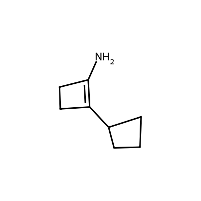 NC1=C(C2CCC2)CC1